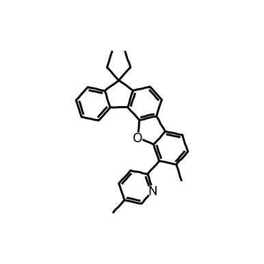 CCC1(CC)c2ccccc2-c2c1ccc1c2oc2c(-c3ccc(C)cn3)c(C)ccc21